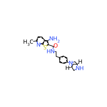 Cc1ccc2c(N)c(C(=O)NCCc3ccc(N4C[C@H]5C[C@@H]4CN5)cc3)sc2n1